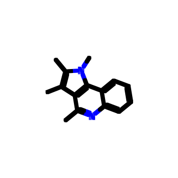 Cc1nc2ccccc2c2c1c(C)c(C)n2C